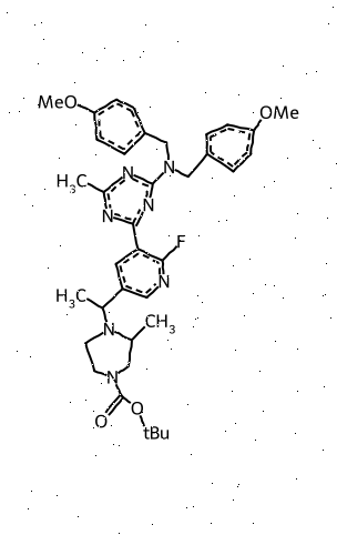 COc1ccc(CN(Cc2ccc(OC)cc2)c2nc(C)nc(-c3cc(C(C)N4CCN(C(=O)OC(C)(C)C)CC4C)cnc3F)n2)cc1